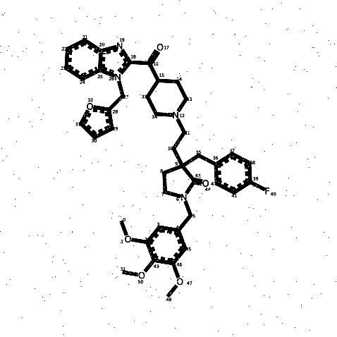 COc1cc(CN2CCC(CCN3CCC(C(=O)c4nc5ccccc5n4Cc4ccco4)CC3)(Cc3ccc(F)cc3)C2=O)cc(OC)c1OC